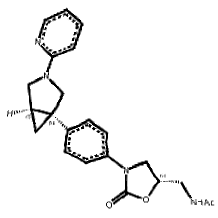 CC(=O)NC[C@H]1CN(c2ccc([C@]34C[C@H]3CN(c3ccccn3)C4)cc2)C(=O)O1